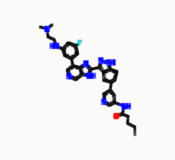 CCCCC(=O)Nc1cncc(-c2ccc3[nH]nc(-c4nc5c(-c6cc(F)cc(NCCN(C)C)c6)cncc5[nH]4)c3c2)c1